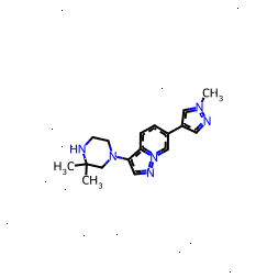 Cn1cc(-c2ccc3c(N4CCNC(C)(C)C4)cnn3c2)cn1